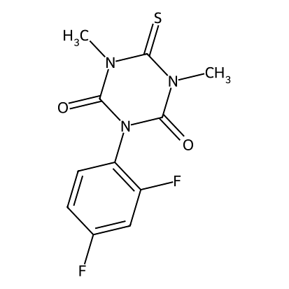 Cn1c(=S)n(C)c(=O)n(-c2ccc(F)cc2F)c1=O